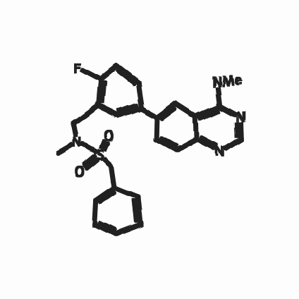 CNc1ncnc2ccc(-c3ccc(F)c(CN(C)S(=O)(=O)Cc4ccccc4)c3)cc12